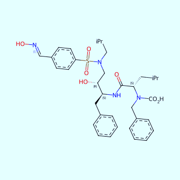 CC(C)C[C@@H](C(=O)N[C@@H](Cc1ccccc1)[C@H](O)CN(CC(C)C)S(=O)(=O)c1ccc(/C=N/O)cc1)N(Cc1ccccc1)C(=O)O